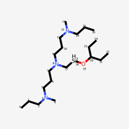 CCCN(C)CCCN(CCCN(C)CCC)C[SiH2]OC(CC)CC